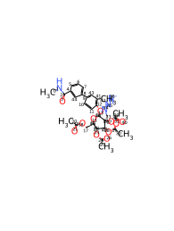 CNC(=O)c1cccc(-c2ccc(O[C@H]3O[C@H](COC(C)=O)[C@@H](OC(C)=O)[C@H](OC(C)=O)[C@]3(CN=[N+]=[N-])OC(C)=O)c(C)c2)c1